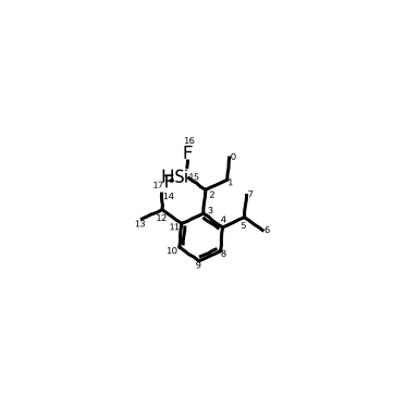 CCC(c1c(C(C)C)cccc1C(C)C)[SiH](F)F